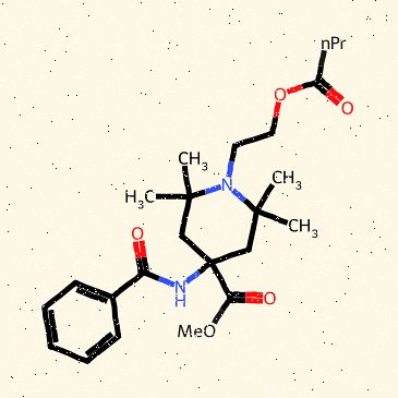 CCCC(=O)OCCN1C(C)(C)CC(NC(=O)c2ccccc2)(C(=O)OC)CC1(C)C